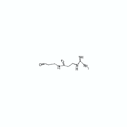 N=C(N)NCCC(=O)NCCC=O